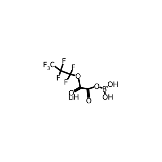 O=C(OB(O)O)C(=O)OC(F)(F)C(F)(F)C(F)(F)F.[LiH]